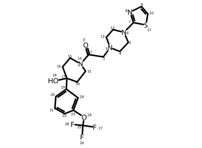 O=C(CN1CCN(c2nccs2)CC1)N1CCC(O)(c2cccc(OC(F)(F)F)c2)CC1